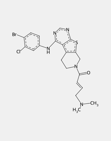 CN(C)CC=CC(=O)N1CCc2c(sc3ncnc(Nc4ccc(Br)c(Cl)c4)c23)C1